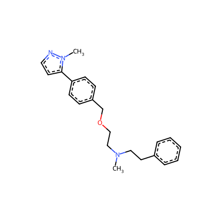 CN(CCOCc1ccc(-c2ccnn2C)cc1)CCc1ccccc1